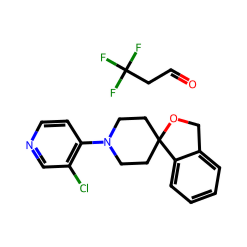 Clc1cnccc1N1CCC2(CC1)OCc1ccccc12.O=CCC(F)(F)F